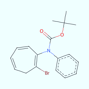 CC(C)(C)OC(=O)N(C1=C(Br)CC=CC=C1)c1ccccc1